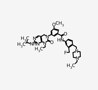 CCN1CCN(Cc2ccc(NC(=O)c3cc(OC)cc(N4Cc5cnc(NC(C)C)nc5N(CC)C4=O)c3)cc2CF)CC1